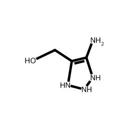 NC1=C(CO)NNN1